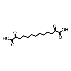 O=C(O)C(=O)CCCCCCCCCC(=O)C(=O)O